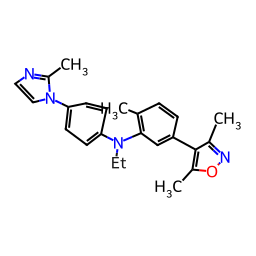 CCN(c1ccc(-n2ccnc2C)cc1)c1cc(-c2c(C)noc2C)ccc1C